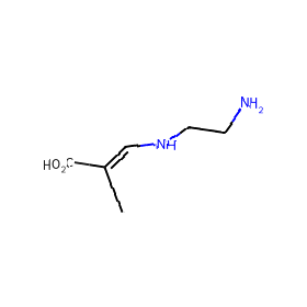 CC(=CNCCN)C(=O)O